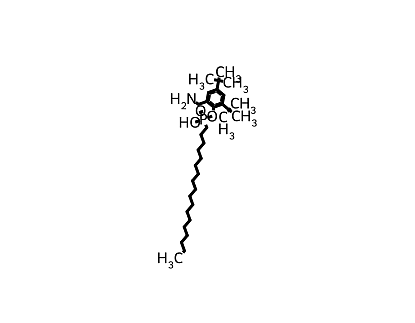 CCCCCCCCCCCCCCCCCCP(=O)(O)Oc1c(CN)cc(C(C)(C)C)cc1C(C)(C)C